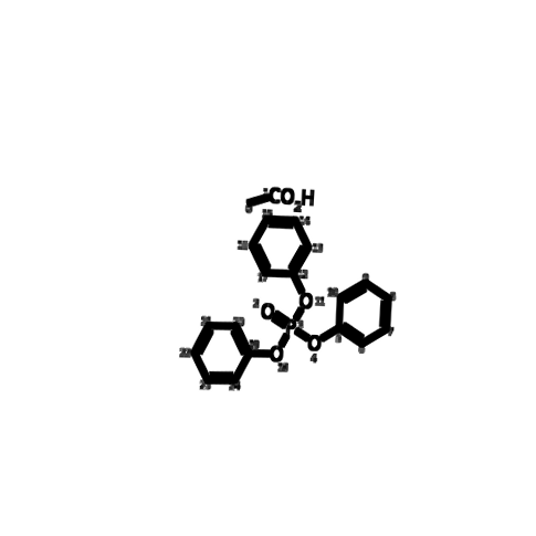 CC(=O)O.O=P(Oc1ccccc1)(Oc1ccccc1)Oc1ccccc1